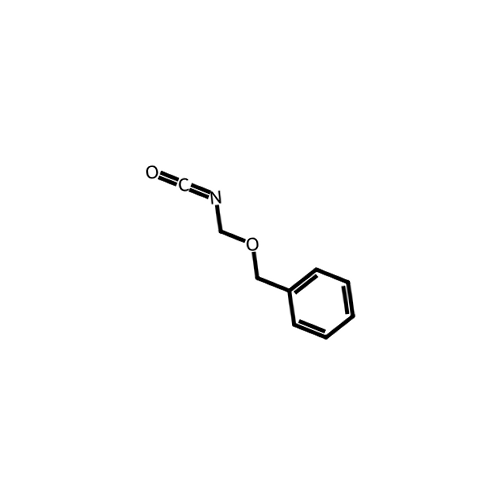 O=C=NCOCc1ccccc1